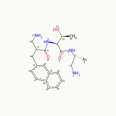 CC(=O)[C@H](CN)NC(=O)[C@@H](NC(=O)C(CN)Cc1ccc2ccccc2c1)[C@H](C)O